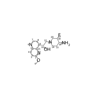 COc1ccc2nccc([C@@H](O)CN3CCC(N)C(F)C3)c2n1